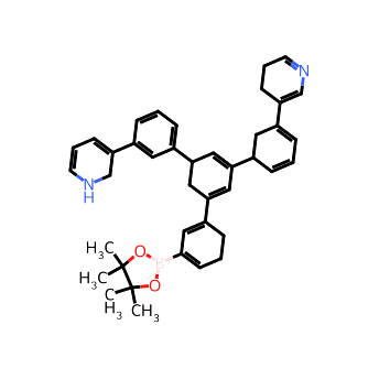 CC1(C)OB(C2=CCCC(C3=CC(C4C=CC=C(C5=CN=CCC5)C4)=CC(c4cccc(C5=CC=CNC5)c4)C3)=C2)OC1(C)C